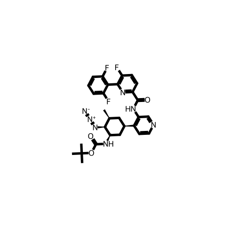 C[C@H]1C[C@@H](c2ccncc2NC(=O)c2ccc(F)c(-c3c(F)cccc3F)n2)C[C@@H](NC(=O)OC(C)(C)C)[C@H]1N=[N+]=[N-]